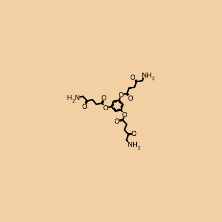 NCC(=O)CCC(=O)Oc1cc(OC(=O)CCC(=O)CN)cc(OC(=O)CCC(=O)CN)c1